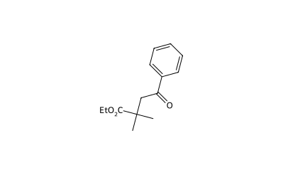 CCOC(=O)C(C)(C)CC(=O)c1ccccc1